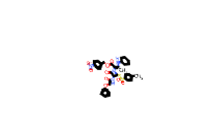 CC(NC1CCCCC1)=C(C(=O)OCc1ccc([N+](=O)[O-])cc1)N1C(=O)C(NC(=O)COc2ccccc2)C1SS(=O)(=O)c1ccc(C)cc1